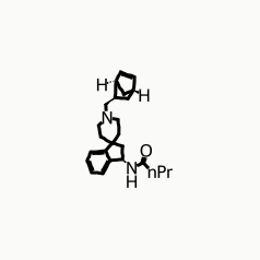 CCCC(=O)N[C@H]1CC2(CCN(C[C@@H]3C[C@H]4C=C[C@H]3C4)CC2)c2ccccc21